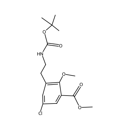 COC(=O)c1cc(Cl)cc(CCNC(=O)OC(C)(C)C)c1OC